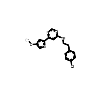 CCOc1csc(-c2cc(NCCc3ccc(Cl)cc3)ncn2)c1